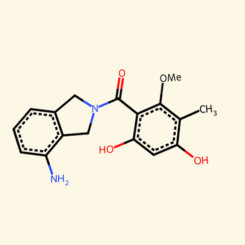 COc1c(C)c(O)cc(O)c1C(=O)N1Cc2cccc(N)c2C1